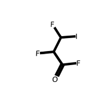 O=C(F)C(F)C(F)I